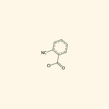 N#Cc1ccccc1C(=O)Cl